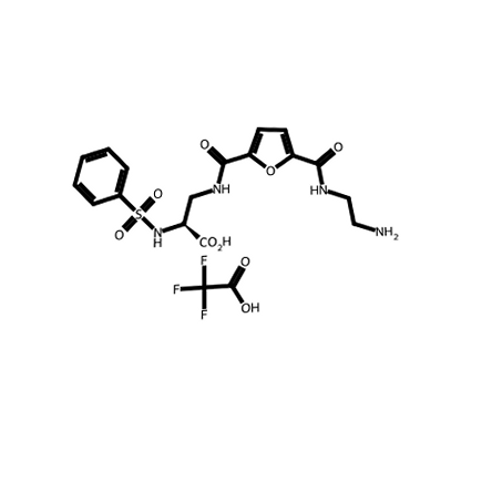 NCCNC(=O)c1ccc(C(=O)NC[C@H](NS(=O)(=O)c2ccccc2)C(=O)O)o1.O=C(O)C(F)(F)F